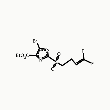 CCOC(=O)c1nc(S(=O)(=O)CCC=C(F)F)sc1Br